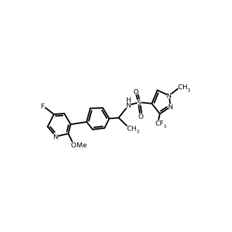 COc1ncc(F)cc1-c1ccc(C(C)NS(=O)(=O)c2cn(C)nc2C(F)(F)F)cc1